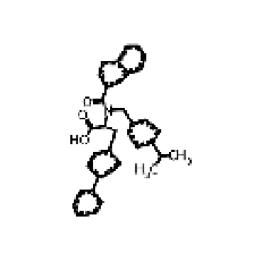 CC(C)c1ccc(CN(C(=O)c2ccc3ccccc3c2)[C@@H](Cc2ccc(-c3ccccc3)cc2)C(=O)O)cc1